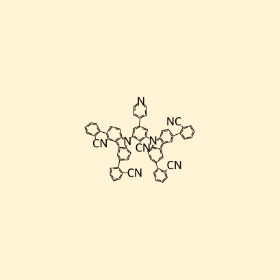 N#Cc1ccccc1-c1ccc2c(c1)c1cc(-c3ccccc3C#N)ccc1n2-c1cc(-c2ccncc2)cc(-n2c3ccc(-c4ccccc4C#N)cc3c3cc(-c4ccccc4C#N)ccc32)c1C#N